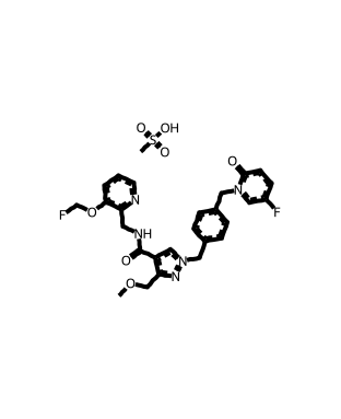 COCc1nn(Cc2ccc(Cn3cc(F)ccc3=O)cc2)cc1C(=O)NCc1ncccc1OCF.CS(=O)(=O)O